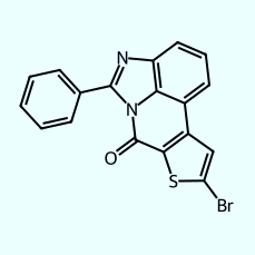 O=c1c2sc(Br)cc2c2cccc3nc(-c4ccccc4)n1c32